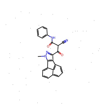 Cn1nc(C(=O)C(C#N)C(=O)Nc2ccccc2)c2c1-c1cccc3cccc-2c13